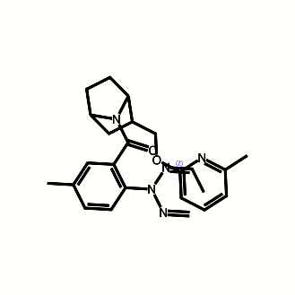 C=NN(/N=C\C)c1ccc(C)cc1C(=O)N1C2CCC1C(COc1cccc(C)n1)C2